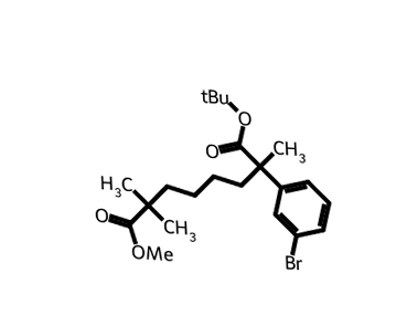 COC(=O)C(C)(C)CCCCC(C)(C(=O)OC(C)(C)C)c1cccc(Br)c1